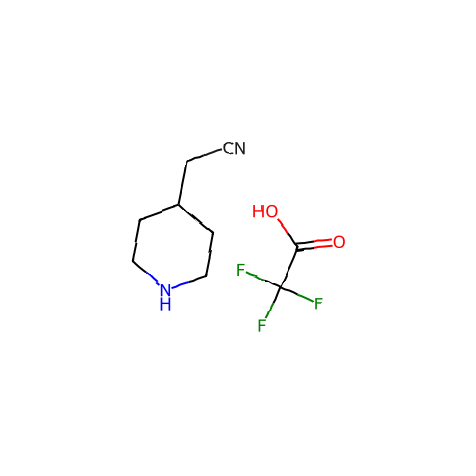 N#CCC1CCNCC1.O=C(O)C(F)(F)F